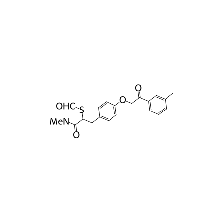 CNC(=O)C(Cc1ccc(OCC(=O)c2cccc(C)c2)cc1)SC=O